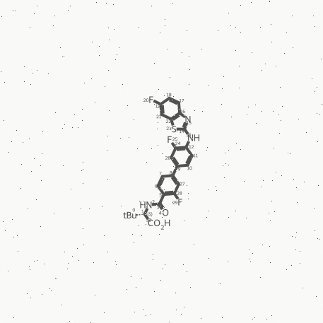 CC(C)(C)[C@H](NC(=O)c1ccc(-c2ccc(Nc3nc4ccc(F)cc4s3)c(F)c2)cc1F)C(=O)O